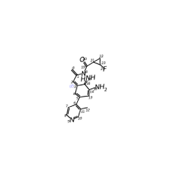 C=C(/C=C1/C=C(c2ccncc2C)C=C(N)C1=N)NC(=O)C1CC1F